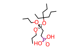 CCCO[Si](CCP(=O)(O)O)(OCCC)OC(CC)(CCC)CCC